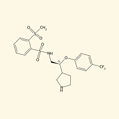 CS(=O)(=O)c1ccccc1S(=O)(=O)NC[C@@H](Oc1ccc(C(F)(F)F)cc1)C1CCNC1